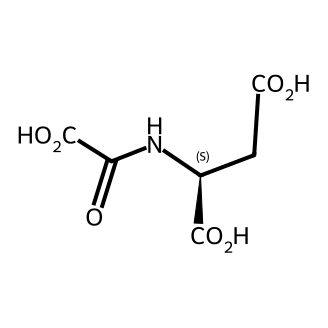 O=C(O)C[C@H](NC(=O)C(=O)O)C(=O)O